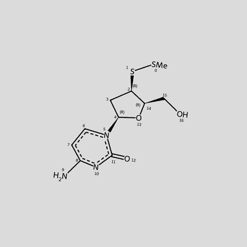 CSS[C@@H]1C[C@H](n2ccc(N)nc2=O)O[C@@H]1CO